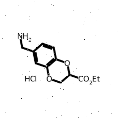 CCOC(=O)C1COc2cc(CN)ccc2O1.Cl